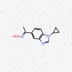 CC(=NO)c1ccc2c(c1)ncn2C1CC1